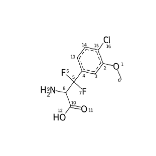 COc1cc(C(F)(F)C(N)C(=O)O)ccc1Cl